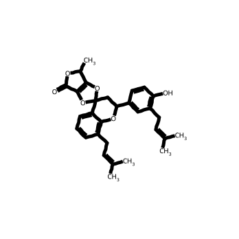 CC(C)=CCc1cc(C2CC3(OC4=C(O3)C(C)OC4=O)c3cccc(CC=C(C)C)c3O2)ccc1O